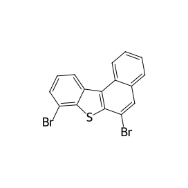 Brc1cccc2c1sc1c(Br)cc3ccccc3c12